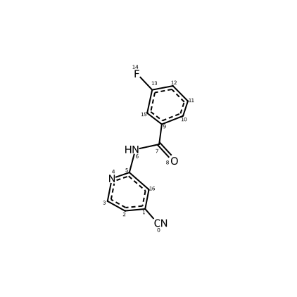 N#Cc1ccnc(NC(=O)c2cccc(F)c2)c1